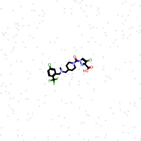 CN(Cc1cc(Cl)ccc1C(F)(F)F)CC1CCN(C(=O)n2cc(Cl)c(C(=O)O)n2)CC1